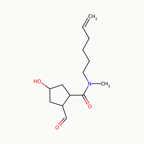 C=CCCCCN(C)C(=O)C1CC(O)CC1C=O